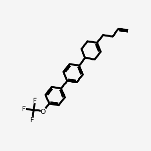 C=CCCC1=CCC(c2ccc(-c3ccc(OC(F)(F)F)cc3)cc2)CC1